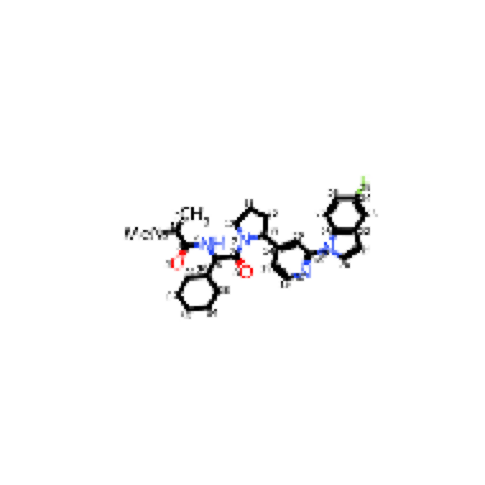 CNC(C)C(=O)NC(C(=O)N1CCCC1c1ccnc(-n2ccc3cc(F)ccc32)c1)C1CCCCC1